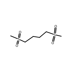 CS(=O)(=O)CCCCS(C)(=O)=O